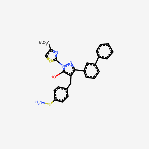 CCOC(=O)c1csc(-n2nc(-c3cccc(-c4ccccc4)c3)c(Cc3ccc(SN)cc3)c2O)n1